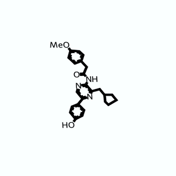 COc1ccc(CC(=O)Nc2ncc(-c3ccc(O)cc3)nc2CC2CCCC2)cc1